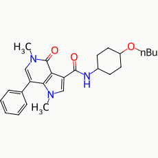 CCCCOC1CCC(NC(=O)c2cn(C)c3c(-c4ccccc4)cn(C)c(=O)c23)CC1